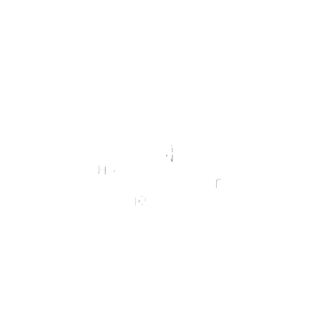 CCC(CO)NCc1ccccc1F